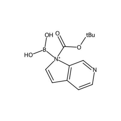 CC(C)(C)OC(=O)[N+]1(B(O)O)C=Cc2ccncc21